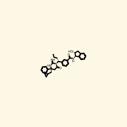 CCC[C@H](c1cccc(C(=O)N[C@@H]2c3ccccc3C[C@H]2O)c1)N1C(=N)N[C@@](CC2CC2)(c2ccccc2)CC1=O